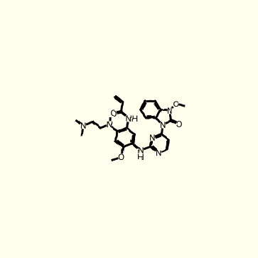 C=CC(=O)Nc1cc(Nc2nccc(-n3c(=O)n(OC)c4ccccc43)n2)c(OC)cc1N(C)CCN(C)C